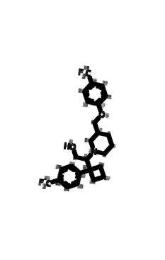 OCC(N1CCCC(COc2ccc(C(F)(F)F)cc2)C1)C1(c2ccc(C(F)(F)F)cc2)CCC1